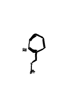 [CH2]CCSCc1ccccc1.[LiH]